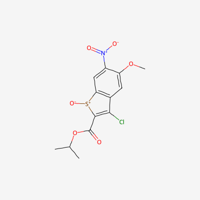 COc1cc2c(Cl)c(C(=O)OC(C)C)[s+]([O-])c2cc1[N+](=O)[O-]